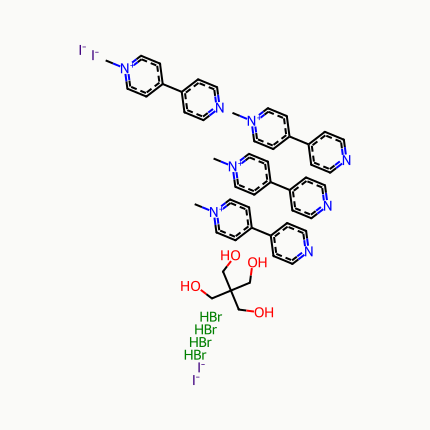 Br.Br.Br.Br.C[n+]1ccc(-c2ccncc2)cc1.C[n+]1ccc(-c2ccncc2)cc1.C[n+]1ccc(-c2ccncc2)cc1.C[n+]1ccc(-c2ccncc2)cc1.OCC(CO)(CO)CO.[I-].[I-].[I-].[I-]